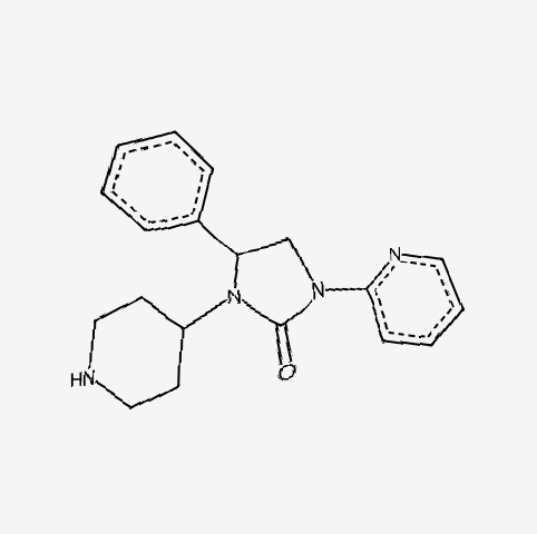 O=C1N(c2ccccn2)CC(c2ccccc2)N1C1CCNCC1